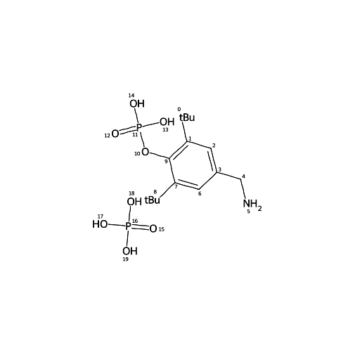 CC(C)(C)c1cc(CN)cc(C(C)(C)C)c1OP(=O)(O)O.O=P(O)(O)O